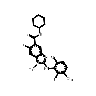 Cc1ccc(Cl)c(Nc2nc3cc(C(=O)NC4CCCCC4)c(F)cc3n2C)c1F